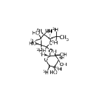 [2H]C1O[C@]([2H])(O[C@@]2([2H])O[C@]([2H])(C([2H])([2H])C)[C@@]([2H])(O)C([2H])(O)C2([2H])O)C([2H])(O)[C@@]([2H])(O)[C@]1([2H])O